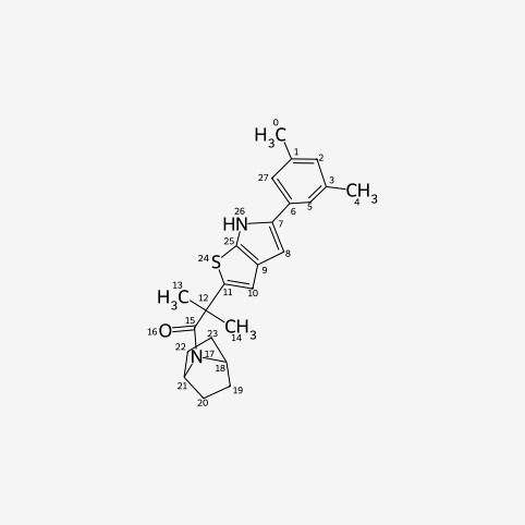 Cc1cc(C)cc(-c2cc3cc(C(C)(C)C(=O)N4C5CCC4CC5)sc3[nH]2)c1